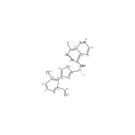 Cc1nnc(N[C@H](C)c2cc(-c3c(Cl)cccc3C=O)cs2)c2ccncc12